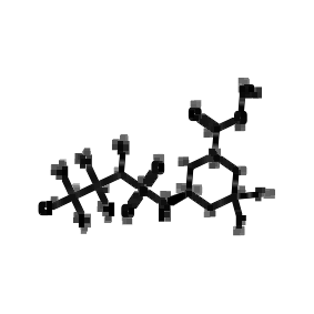 [2H]C(C([2H])([2H])C([2H])([2H])Cl)S(=O)(=O)N[C@H]1CN(C(=O)OC(C)(C)C)CC(F)(F)C1